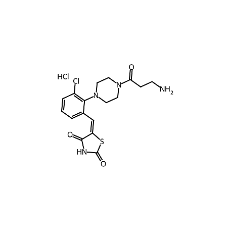 Cl.NCCC(=O)N1CCN(c2c(Cl)cccc2/C=C2/SC(=O)NC2=O)CC1